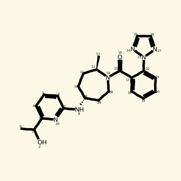 CC(O)c1cccc(N[C@@H]2CC[C@@H](C)N(C(=O)c3ccccc3-n3nccn3)CC2)n1